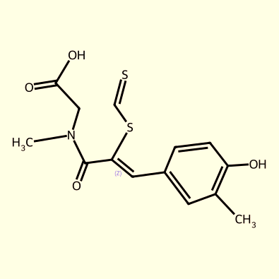 Cc1cc(/C=C(\SC=S)C(=O)N(C)CC(=O)O)ccc1O